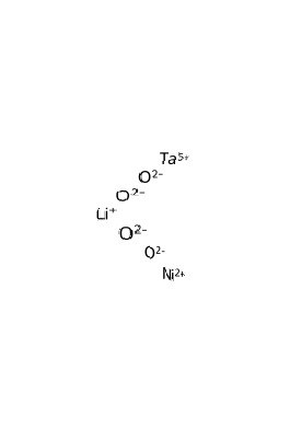 [Li+].[Ni+2].[O-2].[O-2].[O-2].[O-2].[Ta+5]